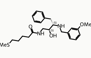 COc1cccc(CN[C@@H](Cc2ccccc2)[C@@H](O)CNC(=O)CCCCSC)c1